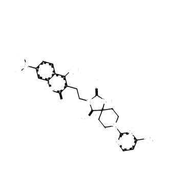 CCN(CC)c1ccc2c(C)c(CCN3C(=O)NC4(CCN(c5nccc(C#N)n5)CC4)C3=O)c(=O)oc2c1